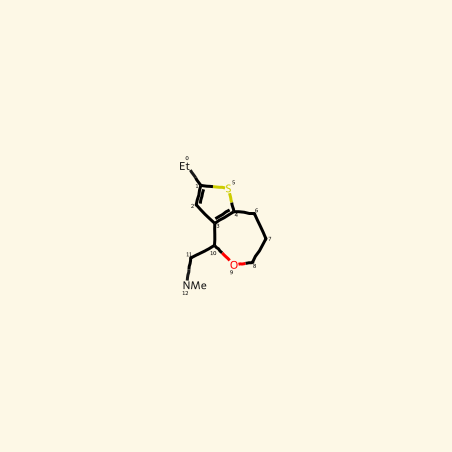 CCc1cc2c(s1)CCCOC2CNC